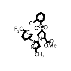 COC(=O)C1C[C@@H](S(=O)(=O)c2ccccc2Cl)CN1c1cc(C)nn1-c1ccc(C(F)(F)F)cc1